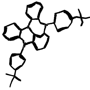 CC(C)(C)c1ccc(N2c3ccccc3B3c4ccccc4N(c4ccc(C(C)(C)C)cc4)c4cccc2c43)cc1